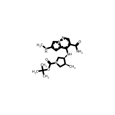 CBc1cc2c(N[C@@H]3CN(C(=O)OC(C)(C)C)C[C@@H]3C)c(C(N)=O)cnn2c1